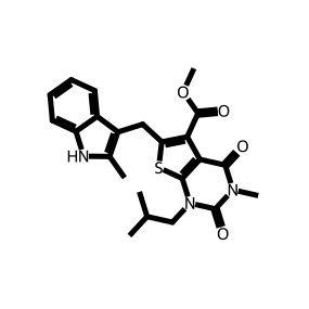 COC(=O)c1c(Cc2c(C)[nH]c3ccccc23)sc2c1c(=O)n(C)c(=O)n2CC(C)C